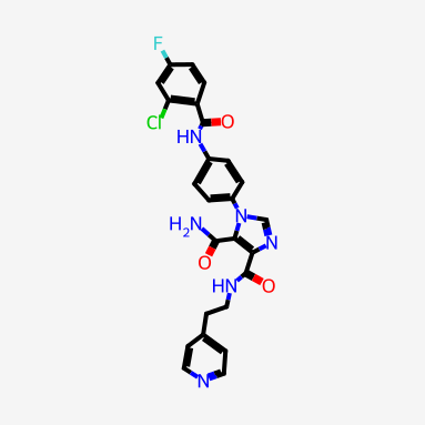 NC(=O)c1c(C(=O)NCCc2ccncc2)ncn1-c1ccc(NC(=O)c2ccc(F)cc2Cl)cc1